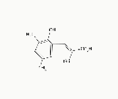 Cc1cc(C)c(O)c(C=C(C(=O)O)C(C)(C)C)c1